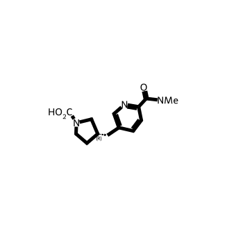 CNC(=O)c1ccc(C[C@@H]2CCN(C(=O)O)C2)cn1